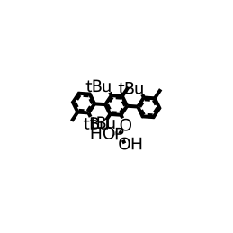 Cc1cccc(-c2c(C)c(C(C)(C)C)c(-c3cccc(C)c3C(C)(C)C)c(C(C)(C)C)c2OP(O)O)c1C(C)(C)C